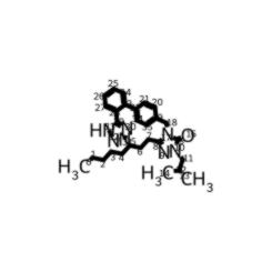 CCCCCCCCc1nn(CC(C)C)c(=O)n1Cc1ccc(-c2ccccc2-c2nnn[nH]2)cc1